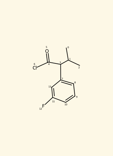 CC(C)C(C(=O)Cl)c1cccc(F)c1